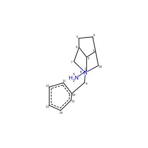 NCC1C2CCC1CN(Cc1ccccc1)C2